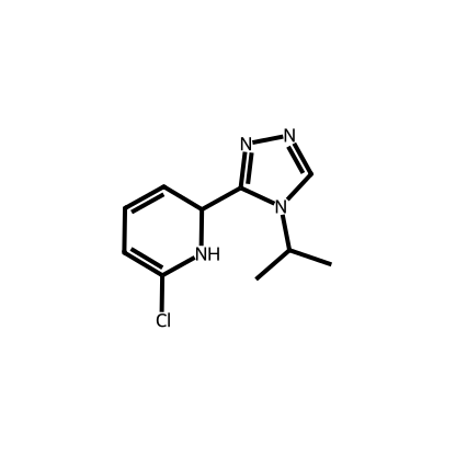 CC(C)n1cnnc1C1C=CC=C(Cl)N1